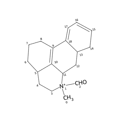 C[N+]1(C=O)CCC2CCCC3=C2C1CC1CC=CC=C31